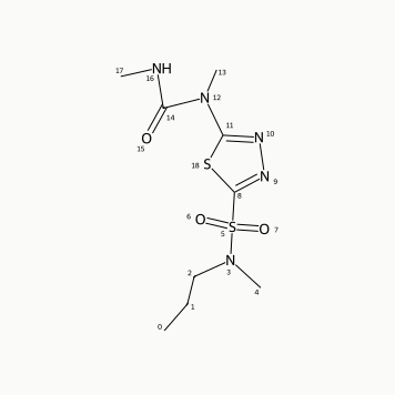 CCCN(C)S(=O)(=O)c1nnc(N(C)C(=O)NC)s1